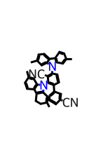 CC1=Cc2c(c3ccc(C)cc3n2-c2c(-c3cccc(C#N)c3)ccc(-n3c4cc(C)ccc4c4ccc(C)cc43)c2C#N)CC1